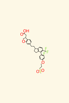 CS(=O)(=O)CCCOc1ccc(-c2c(C(F)(F)F)ccc3c2CCC3CCc2ccc3c(c2)OCC3CC(=O)O)cc1